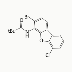 CC(C)(C)C(=O)Nc1c(Br)ccc2c1oc1c(Cl)cccc12